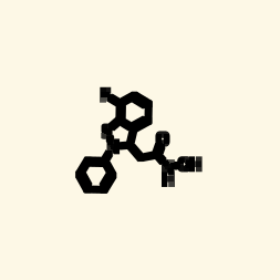 O=C(CC1c2cccc(F)c2SN1c1ccccc1)NO